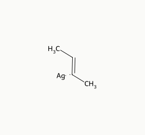 C[C]=CC.[Ag]